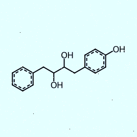 Oc1ccc(CC(O)C(O)Cc2ccccc2)cc1